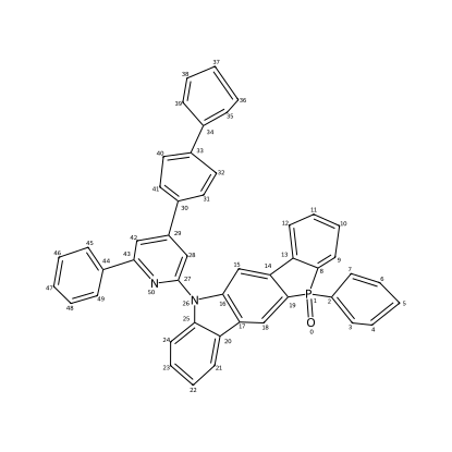 O=P1(c2ccccc2)c2ccccc2-c2cc3c(cc21)c1ccccc1n3-c1cc(-c2ccc(-c3ccccc3)cc2)cc(-c2ccccc2)n1